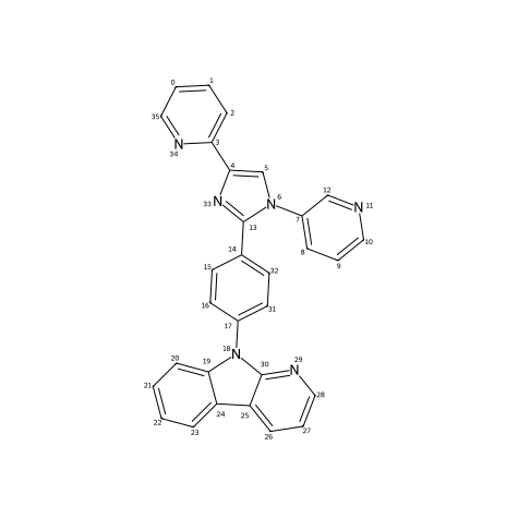 c1ccc(-c2cn(-c3cccnc3)c(-c3ccc(-n4c5ccccc5c5cccnc54)cc3)n2)nc1